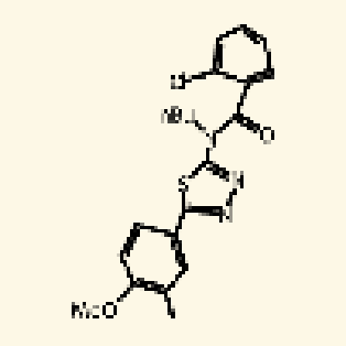 CCCCN(C(=O)c1ccccc1Cl)c1nnc(-c2ccc(OC)c(C)c2)s1